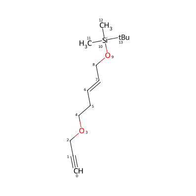 C#CCOCCC=CCO[Si](C)(C)C(C)(C)C